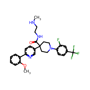 CNCCNC(=O)C1(c2ccc(-c3ccccc3OC)nc2)CCN(c2ccc(C(F)(F)F)cc2F)CC1